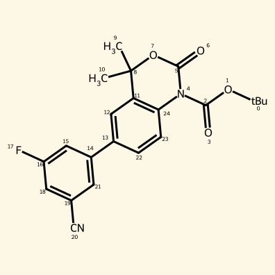 CC(C)(C)OC(=O)N1C(=O)OC(C)(C)c2cc(-c3cc(F)cc(C#N)c3)ccc21